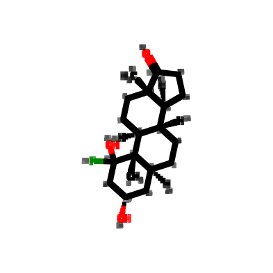 C[C@]12[C@@H](CC[C@@H]3[C@@H]1CC[C@]1(C)C(=O)CC[C@@H]31)C[C@H](O)CC2(O)F